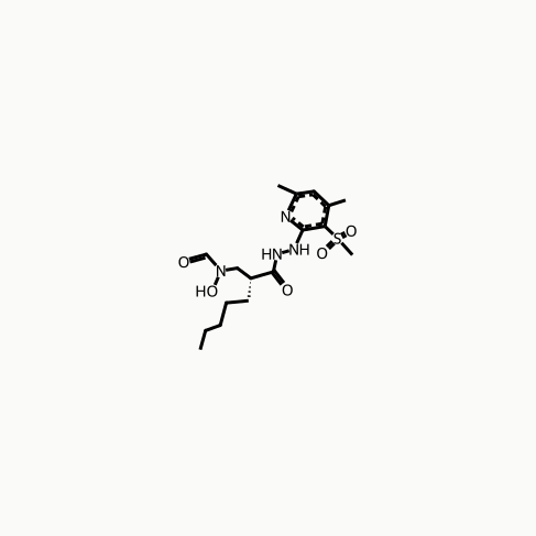 CCCCC[C@H](CN(O)C=O)C(=O)NNc1nc(C)cc(C)c1S(C)(=O)=O